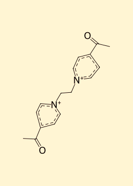 CC(=O)c1cc[n+](CC[n+]2ccc(C(C)=O)cc2)cc1